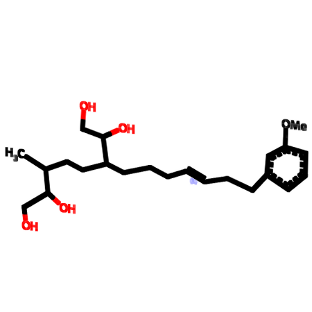 COc1cccc(CC/C=C/CCCC(CCC(C)C(O)CO)C(O)CO)c1